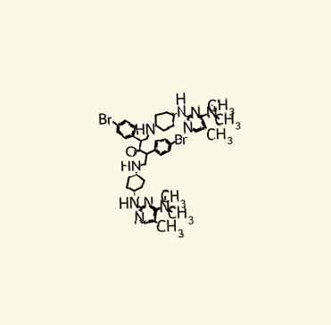 Cc1cnc(N[C@H]2CC[C@@H](NCC(C(=O)C(CN[C@H]3CC[C@@H](Nc4ncc(C)c(N(C)C)n4)CC3)c3ccc(Br)cc3)c3ccc(Br)cc3)CC2)nc1N(C)C